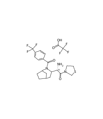 N[C@H](C(=O)N1CCSC1)C1CC2CCC(C2)N1C(=O)c1ccc(C(F)(F)F)cc1.O=C(O)C(F)(F)F